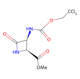 COC(=O)[C@H]1NC(=O)[C@H]1NC(=O)OCC(Cl)(Cl)Cl